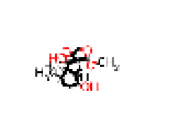 CO[C@@H]1OCC(=O)[C@@]12C[C@@H]1[C@@H](O)CC[C@@H](C)[C@]1(C)[C@H]2O